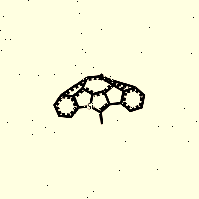 CC1=C2c3cccc4c3c3c2c2c5c6c(cccc6c5c43)[Si]12